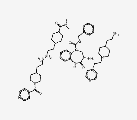 CN(C)C(=O)N1CCC(CCN)CC1.NC1CN(C(=O)OCc2ccccc2)c2ccccc2NC1=O.NCCC1CCN(C(=O)c2ccncc2)CC1.NCCC1CCN(CCc2ccncc2)CC1